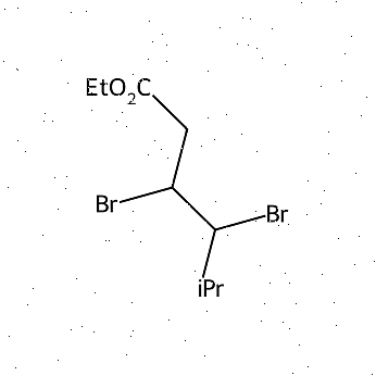 CCOC(=O)CC(Br)C(Br)C(C)C